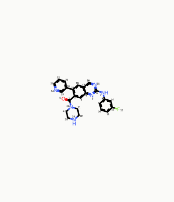 O=C(c1cc2nc(Nc3cccc(F)c3)ncc2cc1-c1cccnc1)N1CCNCC1